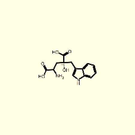 NC(C[C@](O)(Cc1c[nH]c2ccccc12)C(=O)O)C(=O)O